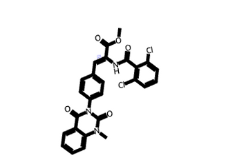 COC(=O)/C(=C/c1ccc(-n2c(=O)c3ccccc3n(C)c2=O)cc1)NC(=O)c1c(Cl)cccc1Cl